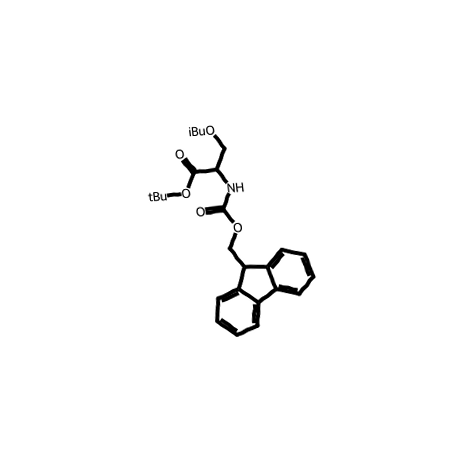 CC(C)COCC(NC(=O)OCC1c2ccccc2-c2ccccc21)C(=O)OC(C)(C)C